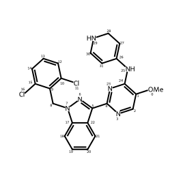 COc1cnc(-c2nn(Cc3c(Cl)cccc3Cl)c3ccccc23)nc1NC1=CCNC=C1